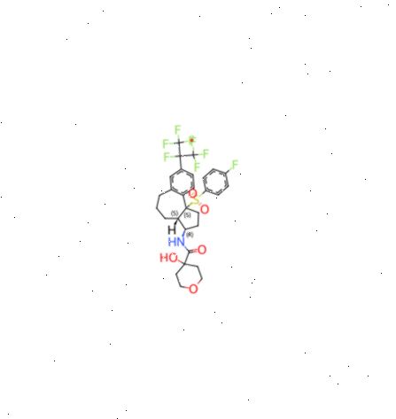 O=C(N[C@@H]1CC[C@@]2(S(=O)(=O)c3ccc(F)cc3)c3ccc(C(F)(C(F)(F)F)C(F)(F)F)cc3CCC[C@@H]12)C1(O)CCOCC1